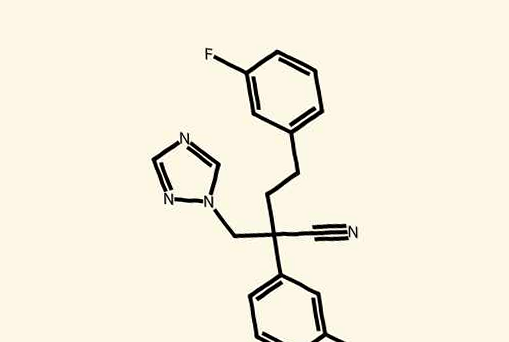 N#CC(CCc1cccc(F)c1)(Cn1cncn1)c1cccc(F)c1